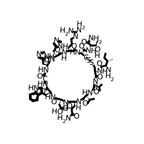 CC[C@H](C)[C@H](N)C(=O)N[C@H]1CSSC[C@@H](C(=O)N[C@H](C(N)=O)[C@@H](C)O)NC(=O)[C@H](CCCN=C(N)N)NC(=O)[C@@H](Cc2cnc[nH]2)NC(=O)[C@H](Cc2cnc[nH]2)NC(=O)CNC(=O)[C@H](Cc2c[nH]c3ccccc23)NC(=O)[C@@H](CC(=O)O)NC(=O)[C@H](CCC(N)=O)NC(=O)[C@@H](C(C)C)NC(=O)[C@H](C(C)C)NC1=O